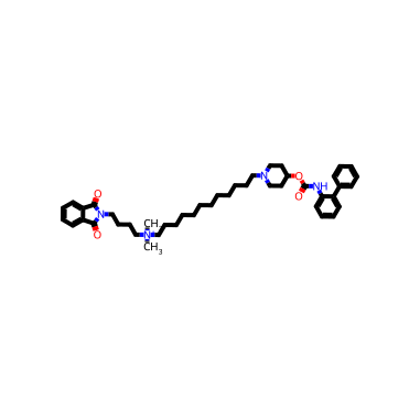 C[N+](C)(CCCCCCCCCCCCN1CCC(OC(=O)Nc2ccccc2-c2ccccc2)CC1)CCCCN1C(=O)c2ccccc2C1=O